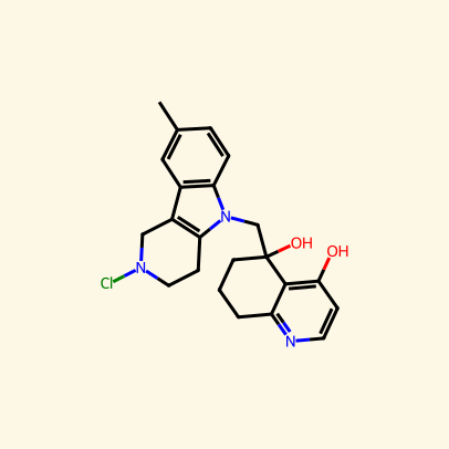 Cc1ccc2c(c1)c1c(n2CC2(O)CCCc3nccc(O)c32)CCN(Cl)C1